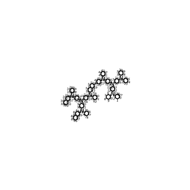 c1ccc(N(c2ccccc2)c2ccc(N(c3ccc(N(c4ccccc4)c4ccccc4)cc3)c3ccc(N(c4ccccc4)c4ccc(-c5ccc6ccc(N(c7ccccc7)c7ccc(N(c8ccc(N(c9ccccc9)c9ccc%10ccccc%10c9)cc8)c8ccc(N(c9ccccc9)c9ccc%10ccccc%10c9)cc8)cc7)cc6c5)cc4)cc3)cc2)cc1